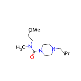 COCCN(C)C(=O)N1CCN(CC(C)C)CC1